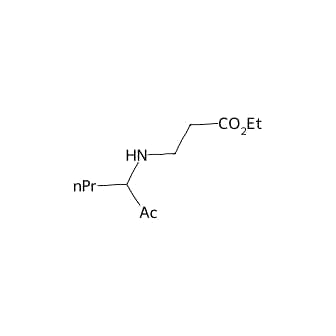 CCCC(NCCC(=O)OCC)C(C)=O